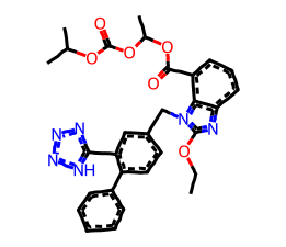 CCOc1nc2cccc(C(=O)OC(C)OC(=O)OC(C)C)c2n1Cc1ccc(-c2ccccc2)c(-c2nnn[nH]2)c1